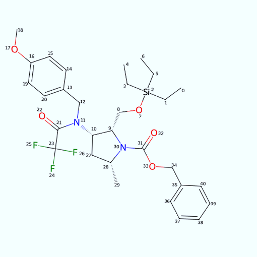 CC[Si](CC)(CC)OC[C@H]1[C@@H](N(Cc2ccc(OC)cc2)C(=O)C(F)(F)F)C[C@@H](C)N1C(=O)OCc1ccccc1